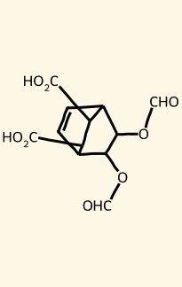 O=COC1C2C=CC(C1OC=O)C(C(=O)O)C2C(=O)O